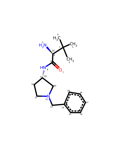 CC(C)(C)[C@H](N)C(=O)N[C@H]1CCN(Cc2ccccc2)C1